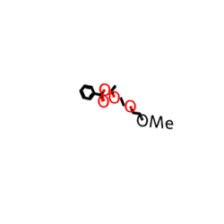 COCCOCCOC(C)OC(=O)c1ccccc1